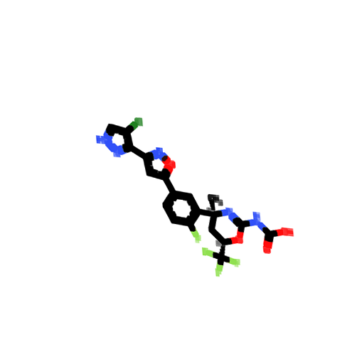 C[C@@]1(c2cc(-c3cc(-c4n[nH]cc4Cl)no3)ccc2F)C[C@@H](C(F)(F)F)OC(NC(=O)O)=N1